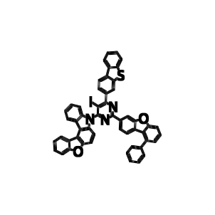 Ic1c(-c2ccc3c(c2)sc2ccccc23)nc(-c2ccc3c(c2)oc2cccc(-c4ccccc4)c23)nc1-n1c2ccccc2c2c3c(ccc21)oc1ccccc13